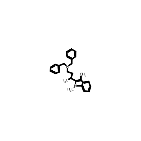 Cc1c(C(C)CCN(Cc2ccccc2)Cc2ccccc2)n(C)c2ccccc12